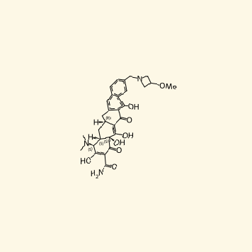 COC1CN(Cc2ccc3cc4c(c(O)c3c2)C(=O)C2=C(O)[C@]3(O)C(=O)C(C(N)=O)=C(O)[C@@H](N(C)C)[C@@H]3C[C@@H]2C4)C1